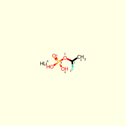 CC(F)OP(=O)(O)O.[LiH]